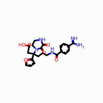 N=C(N)c1ccc(C(=O)NCCCC(CC(=O)O)(c2ccco2)N2CCNC(=O)C2=O)cc1